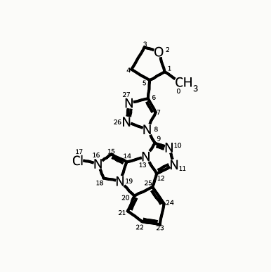 CC1OCCC1c1cn(-c2nnc3n2C2=CN(Cl)CN2c2ccccc2-3)nn1